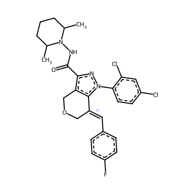 CC1CCCC(C)N1NC(=O)c1nn(-c2ccc(Cl)cc2Cl)c2c1COC/C2=C\c1ccc(F)cc1